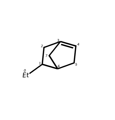 [CH2]CC1CC2=CCC1C2